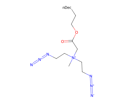 CCCCCCCCCCCCOC(=O)C[N+](C)(CCN=[N+]=[N-])CCN=[N+]=[N-]